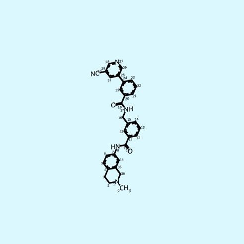 CN1CCc2ccc(NC(=O)c3cccc(CNC(=O)c4cccc(-c5cncc(C#N)c5)c4)c3)cc2C1